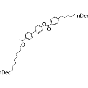 CCCCCCCCCCCCCCCCCCOC(C)c1ccc(-c2ccc(OC(=O)c3ccc(CCCCCCCCCCCCCCC)cc3)cc2)cc1